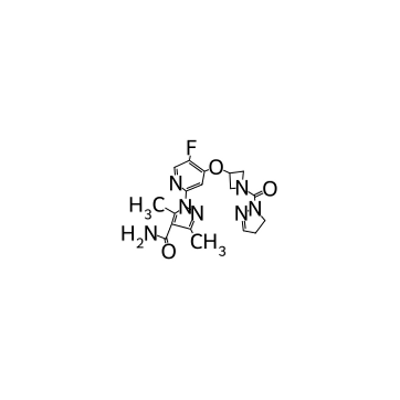 Cc1nn(-c2cc(OC3CN(C(=O)N4CCC=N4)C3)c(F)cn2)c(C)c1C(N)=O